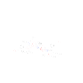 CC[C@H](NC)C(=O)O[C@H](Cc1ccc(C2CCOCC2)cc1)C(=O)N(C)[C@@H](CCC(C)C)C(=O)O[C@H](C)C(=O)N(C)[C@@H](CC)C(=O)O[C@H](CCc1ccc(C2CCOCC2)cc1)C(=O)N(C)[C@@H](CC(C)C)C(=O)O[C@H](C)C(=O)O